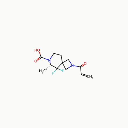 C=CC(=O)N1CC2(CCN(C(=O)O)[C@@H](C)C2(F)F)C1